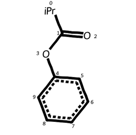 CC(C)C(=O)Oc1ccccc1